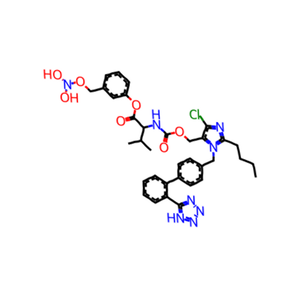 CCCCc1nc(Cl)c(COC(=O)NC(C(=O)Oc2cccc(CON(O)O)c2)C(C)C)n1Cc1ccc(-c2ccccc2-c2nnn[nH]2)cc1